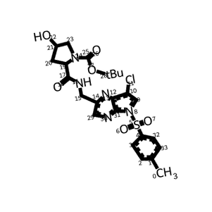 Cc1ccc(S(=O)(=O)n2cc(Cl)c3nc(CNC(=O)C4CC(O)CN4C(=O)OC(C)(C)C)cnc32)cc1